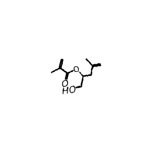 C=C(C)CC(CO)OC(=O)C(=C)C